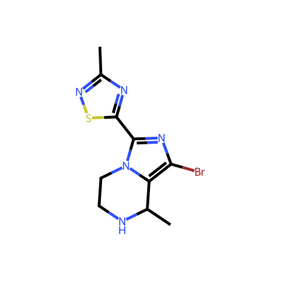 Cc1nsc(-c2nc(Br)c3n2CCNC3C)n1